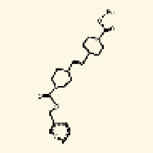 CC(C)(C)OC(=O)N1CCC(C=CC2CCN(C(=O)OCc3ccccc3)CC2)CC1